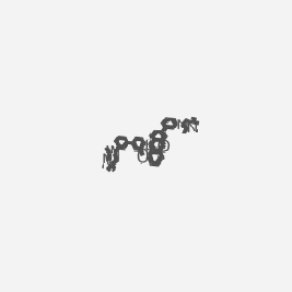 CC1=NC(C)(C)CN1c1cccc(-c2ccc3c(c2)Oc2cccc4c2B3c2ccc(-c3cccc(N5CC(C)(C)N=C5C)c3)cc2O4)c1